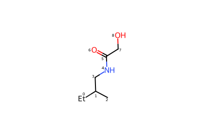 CCC(C)CNC(=O)CO